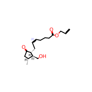 C=CCOC(=O)CCC/C=C\C[C@H]1C(=O)C[C@@H](C)[C@@H]1CO